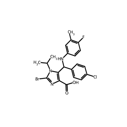 Cc1cc(NC(c2ccc(Cl)cc2)c2c(C(=O)O)nc(Br)n2C(C)C)ccc1F